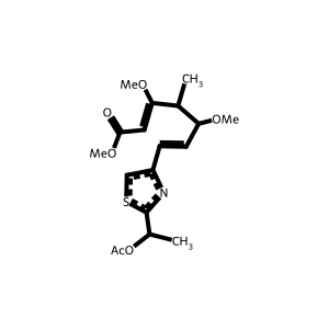 COC(=O)C=C(OC)C(C)C(C=Cc1csc(C(C)OC(C)=O)n1)OC